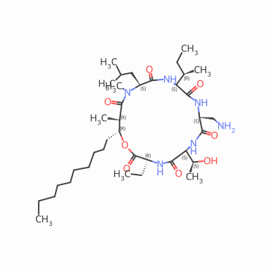 CCCCCCCCCC[C@H]1OC(=O)[C@@H](CC)NC(=O)[C@H]([C@H](C)O)NC(=O)[C@H](CN)NC(=O)[C@H]([C@H](C)CC)NC(=O)[C@H](CC(C)C)N(C)C(=O)[C@@H]1C